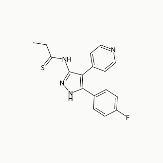 CCC(=S)Nc1n[nH]c(-c2ccc(F)cc2)c1-c1ccncc1